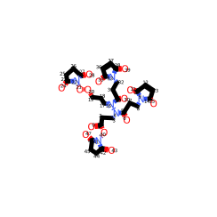 O=C(CCN(C(=O)CCN1C(=O)C=CC1=O)N(CCCOON1C(=O)CCC1=O)C(=O)CCN1C(=O)C=CC1=O)ON1C(=O)CCC1=O